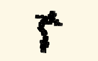 CNC(=O)N1CCc2c(-c3cc(OC)c(CN4CCC(C5(CN6CCN(c7ccc8c(c7)C(=O)N(C7CCC(=O)NC7=O)C8=O)CC6)CC5)CC4)c(OC)c3)cn(C)c(=O)c2C1